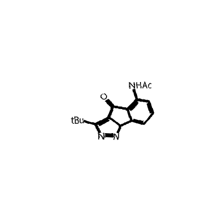 CC(=O)Nc1cccc2c1C(=O)C1=C(C(C)(C)C)N=NC12